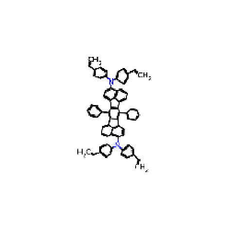 C=Cc1ccc(N(c2ccc(C=C)cc2)c2ccc3c4c(-c5ccccc5)c5c6cccc7c(N(c8ccc(C=C)cc8)c8ccc(C=C)cc8)ccc(c5c(-c5ccccc5)c4c4cccc2c43)c76)cc1